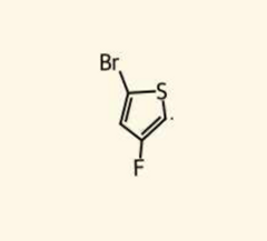 Fc1[c]sc(Br)c1